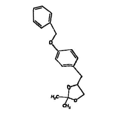 CC1(C)OCC(Cc2ccc(OCc3ccccc3)cc2)O1